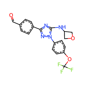 O=Cc1ccc(-c2nc(NC3COC3)n(-c3ccc(OC(F)(F)F)cc3)n2)cc1